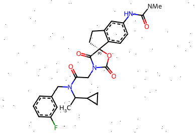 CNC(=O)Nc1ccc2c(c1)CC[C@@]21OC(=O)N(CC(=O)N(Cc2cccc(F)c2)C(C)C2CC2)C1=O